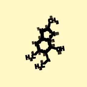 CCc1c(C)nc2nc(C)nn2c1O